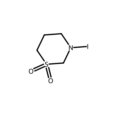 O=S1(=O)CCCN(I)C1